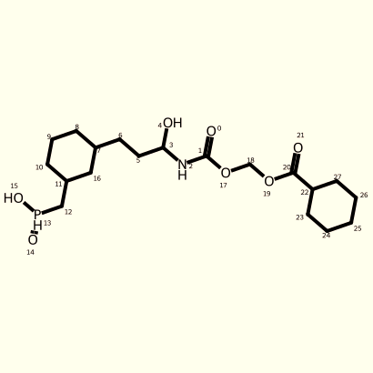 O=C(NC(O)CCC1CCCC(C[PH](=O)O)C1)OCOC(=O)C1CCCCC1